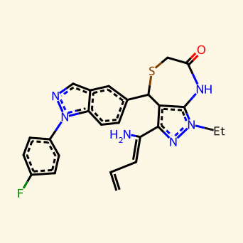 C=CC=C(N)c1nn(CC)c2c1C(c1ccc3c(cnn3-c3ccc(F)cc3)c1)SCC(=O)N2